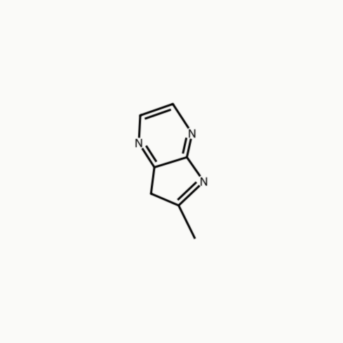 CC1=Nc2nccnc2C1